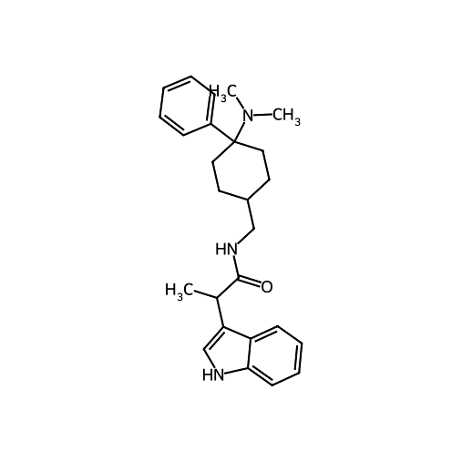 CC(C(=O)NCC1CCC(c2ccccc2)(N(C)C)CC1)c1c[nH]c2ccccc12